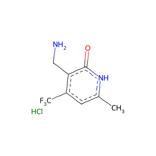 Cc1cc(C(F)(F)F)c(CN)c(=O)[nH]1.Cl